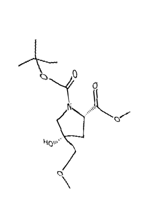 COC[C@]1(O)C[C@@H](C(=O)OC)N(C(=O)OC(C)(C)C)C1